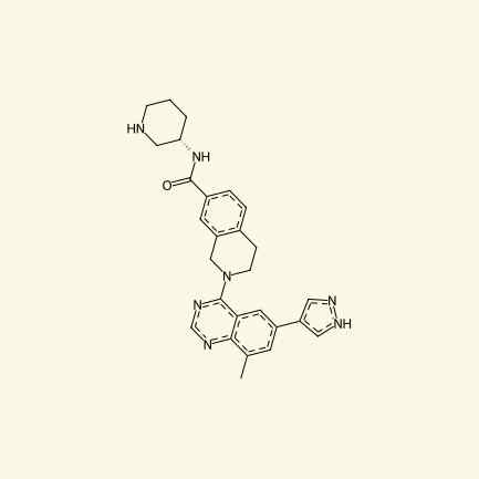 Cc1cc(-c2cn[nH]c2)cc2c(N3CCc4ccc(C(=O)N[C@H]5CCCNC5)cc4C3)ncnc12